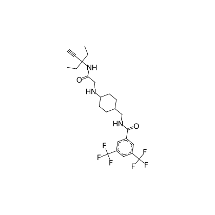 C#CC(CC)(CC)NC(=O)CNC1CCC(CNC(=O)c2cc(C(F)(F)F)cc(C(F)(F)F)c2)CC1